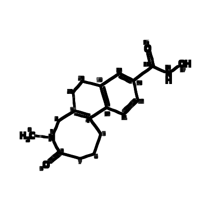 CN1CC2=C(CCCC1=O)c1ccc(C(=O)NO)cc1CC2